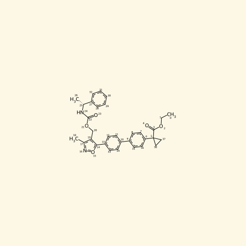 CCOC(=O)C1(c2ccc(-c3ccc(-c4onc(C)c4COC(=O)N[C@H](C)c4ccccc4)cc3)cc2)CC1